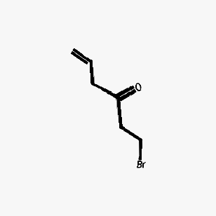 C=CCC(=O)CCBr